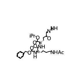 CC(=O)NCCCC[C@H](NC(=O)OCc1ccccc1)C(=O)N[C@@H](CCC(=O)C=[N+]=N)C(=O)OC(C)C